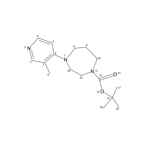 Cc1cnccc1N1CCCN(C(=O)OC(C)(C)C)CC1